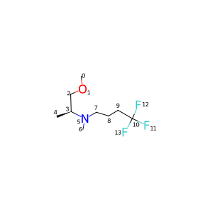 COC[C@H](C)N(C)CCCC(F)(F)F